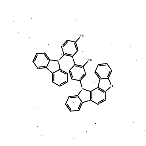 N#Cc1ccc(-n2c3ccccc3c3ccccc32)c(-c2ccc(-n3c4ccccc4c4ccc5oc6ccccc6c5c43)cc2C#N)c1